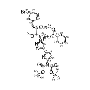 COC1C(n2cc(-c3csc(N(C(=O)OC(C)(C)C)C(=O)OC(C)(C)C)n3)nn2)[C@H]2OC(c3ccccc3)OCC2O[C@@H]1Sc1cncc(Br)c1